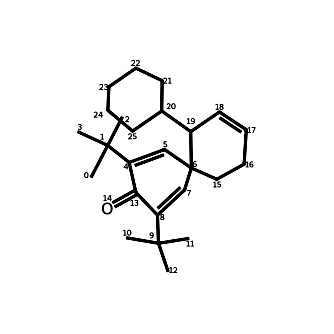 CC(C)(C)C1=CC2(C=C(C(C)(C)C)C1=O)CCC=CC2C1CCCCC1